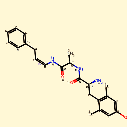 CCc1cc(O)cc(CC)c1C[C@H](N)C(=O)N[C@H](C)C(=O)N/C=C\Cc1ccccc1